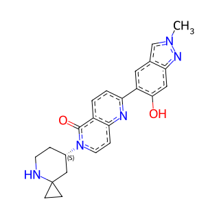 Cn1cc2cc(-c3ccc4c(=O)n([C@H]5CCNC6(CC6)C5)ccc4n3)c(O)cc2n1